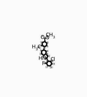 COC(=O)c1ccc(-c2ccc3[nH]c(-c4c(F)cccc4Cl)cc3c2)c(C)c1